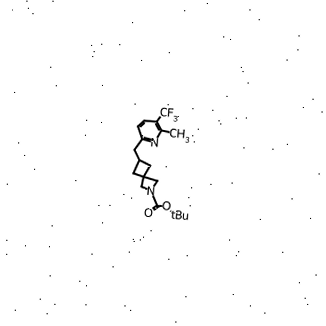 Cc1nc(CC2CC3(C2)CN(C(=O)OC(C)(C)C)C3)ccc1C(F)(F)F